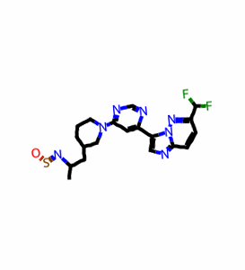 CC(CC1CCCN(c2cc(-c3cnc4ccc(C(F)F)nn34)ncn2)C1)N=S=O